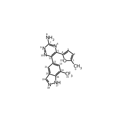 Cc1ccc(-c2nc(N)nnc2-c2cc(C(F)(F)F)c3[nH]ncc3c2)o1